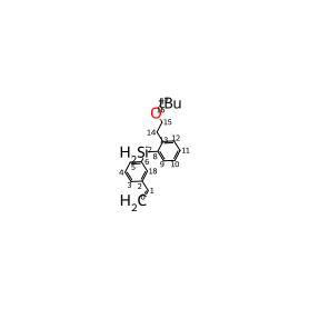 C=Cc1cccc([SiH2]c2ccccc2CCOC(C)(C)C)c1